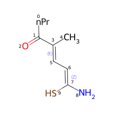 CCCC(=O)/C(C)=C/C=C(/N)S